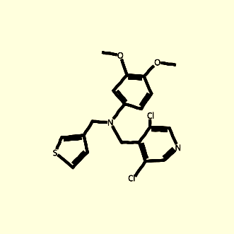 COc1ccc(N(Cc2ccsc2)Cc2c(Cl)cncc2Cl)cc1OC